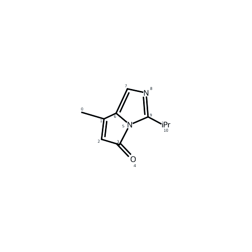 CC1=CC(=O)n2c1cnc2C(C)C